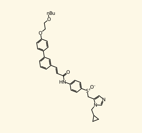 CCCCOCCOc1ccc(-c2cccc(/C=C/C(=O)Nc3ccc([S+]([O-])Cc4cncn4CC4CC4)cc3)c2)cc1